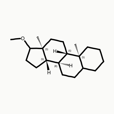 COC1CC[C@H]2[C@@H]3CCC4CCCC[C@]4(C)[C@H]3CC[C@]12C